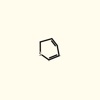 [C]1=[C]SCC=C1